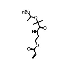 C=CC(=O)OCCNC(=O)C(C)(C)OC(C)CCCC